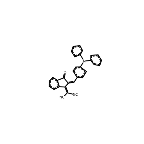 [C-]#[N+]/C(C#N)=C1\C(=Cc2ccc(N(c3ccccc3)c3ccccc3)cc2)C(=O)c2ccccc21